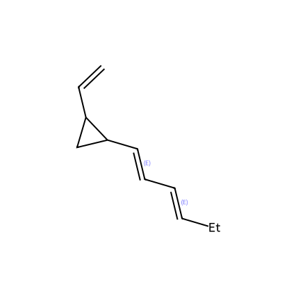 C=CC1CC1/C=C/C=C/CC